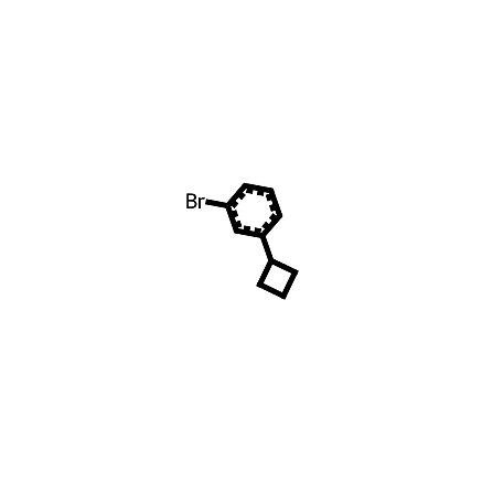 Brc1cccc(C2CCC2)c1